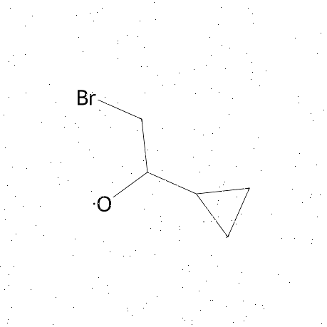 [O]C(CBr)C1CC1